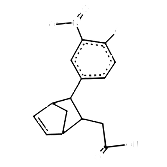 O=C(O)CC1C2C=CC(C2)C1c1ccc(Cl)c([N+](=O)[O-])c1